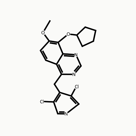 COc1ccc2c(Cc3c(Cl)cncc3Cl)ncnc2c1OC1CCCC1